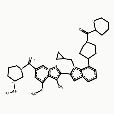 C=C(c1cc(OC)c2c(C)c(-c3cc4cccc(C5CCN(C(=O)C6CCCCO6)CC5)c4n3CC3CC3)nn2c1)N1CCC[C@@H](NC)C1